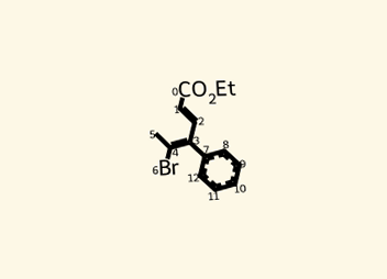 CCOC(=O)C=CC(=C(C)Br)c1ccccc1